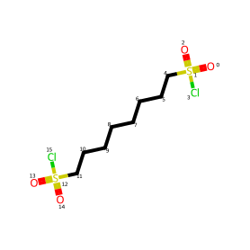 O=S(=O)(Cl)CCCCCCCCS(=O)(=O)Cl